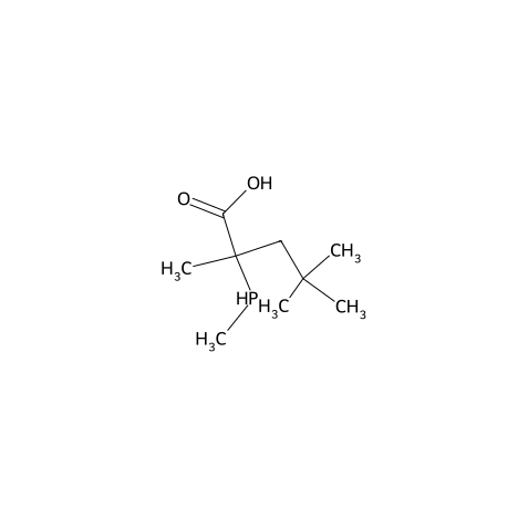 CPC(C)(CC(C)(C)C)C(=O)O